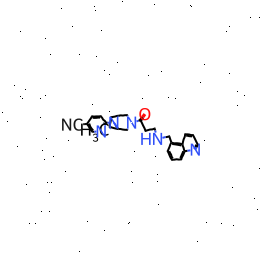 C[C@H]1CC2CN(C(=O)CCNCc3cccc4ncccc34)CC1N2c1ccc(C#N)cn1